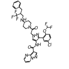 O=C(Nc1cn(CC(=O)N2CCC(NCC(Cc3ccccc3)C(F)(F)F)CC2)nc1-c1cc(Cl)ccc1OC(F)F)c1cnn2cccnc12